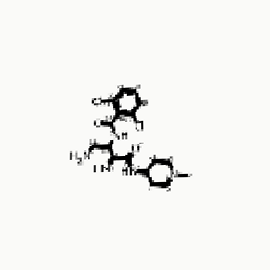 CN1CCC(NC(=O)C(=N)/C(=C\N)NC(=O)c2c(Cl)cccc2Cl)CC1